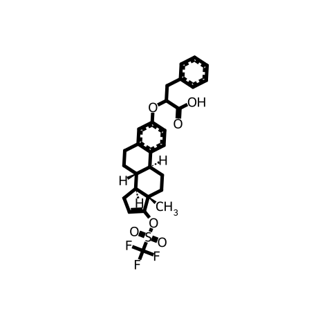 C[C@]12CC[C@@H]3c4ccc(OC(Cc5ccccc5)C(=O)O)cc4CC[C@H]3[C@@H]1CC=C2OS(=O)(=O)C(F)(F)F